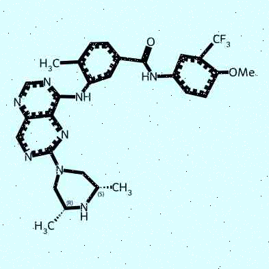 COc1ccc(NC(=O)c2ccc(C)c(Nc3ncnc4cnc(N5C[C@@H](C)N[C@@H](C)C5)nc34)c2)cc1C(F)(F)F